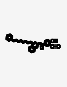 O=Cc1cc(C(=O)CN(CCCCCCCCCCc2ccccc2)Cc2ccccc2)ccc1O